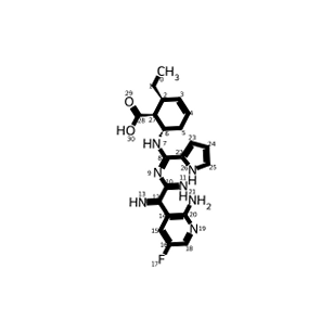 CC[C@H]1C=CC[C@H](N/C(=N/C(=N)C(=N)c2cc(F)cnc2N)c2ccc[nH]2)[C@H]1C(=O)O